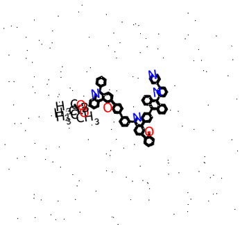 CC1(C)OB(c2ccc3c(c2)nc(-c2ccccc2)c2ccc4c5ccc(-c6cccc(-c7nc8cc(-c9c%10ccccc%10c(-c%10cccc(-c%11ccncc%11)n%10)c%10ccccc9%10)ccc8c8c7ccc7c9ccccc9oc78)c6)cc5oc4c23)OC1(C)C